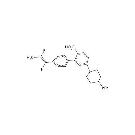 CCCC1CCC(c2ccc(C(=O)O)c(-c3ccc(/C(F)=C(/C)F)cc3)c2)CC1